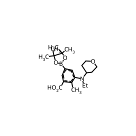 CCN(c1cc(B2OC(C)(C)C(C)(C)O2)cc(C(=O)O)c1C)C1CCOCC1